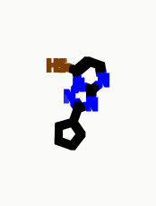 Sc1ccnc2nc(C3CCCC3)nn12